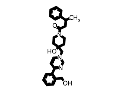 CC(CC(=O)N1CCC(O)(CN2C=CC(c3ccccc3CO)=NC2)CC1)c1ccccc1